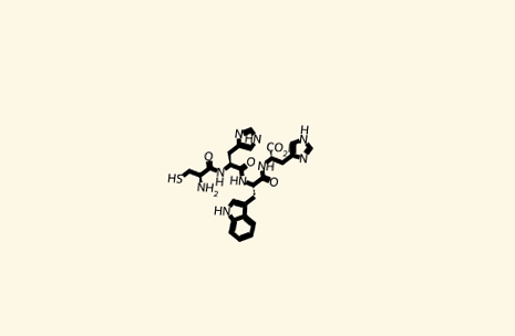 N[C@@H](CS)C(=O)N[C@@H](Cc1c[nH]cn1)C(=O)N[C@@H](Cc1c[nH]c2ccccc12)C(=O)N[C@@H](Cc1c[nH]cn1)C(=O)O